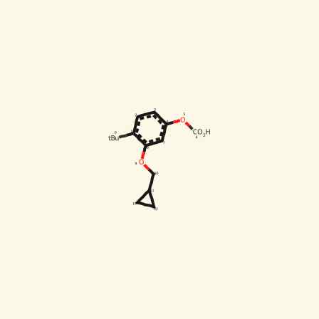 CC(C)(C)c1ccc(OC(=O)O)cc1OCC1CC1